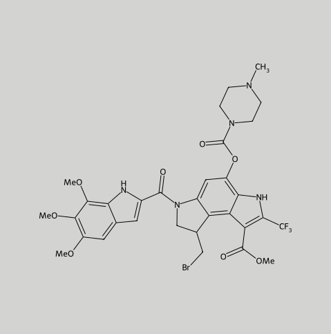 COC(=O)c1c(C(F)(F)F)[nH]c2c(OC(=O)N3CCN(C)CC3)cc3c(c12)C(CBr)CN3C(=O)c1cc2cc(OC)c(OC)c(OC)c2[nH]1